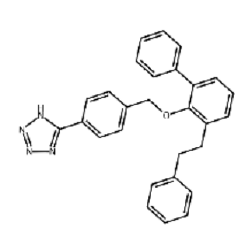 c1ccc(CCc2cccc(-c3ccccc3)c2OCc2ccc(-c3nnn[nH]3)cc2)cc1